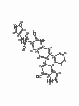 O=c1[nH]c2nc(-c3ccccc3)c(-c3cc(Cl)c4[nH]ncc4c3)cc2cc1S(=O)(=O)Nc1cnoc1